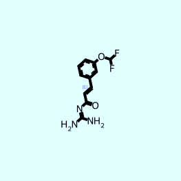 NC(N)=NC(=O)/C=C/c1cccc(OC(F)F)c1